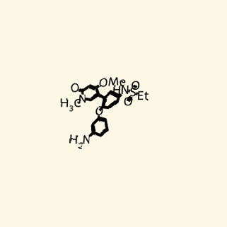 CCS(=O)(=O)Nc1ccc(Oc2cccc(N)c2)c(-c2cn(C)c(=O)cc2OC)c1